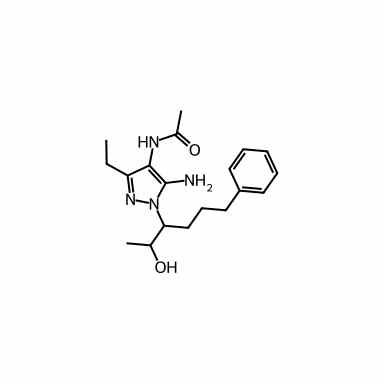 CCc1nn(C(CCCc2ccccc2)C(C)O)c(N)c1NC(C)=O